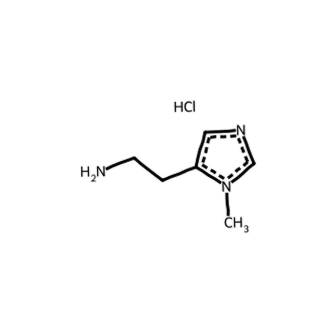 Cl.Cn1cncc1CCN